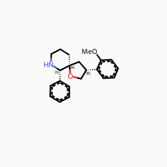 COc1ccccc1[C@@H]1CO[C@]2(CCCN[C@H]2c2ccccc2)C1